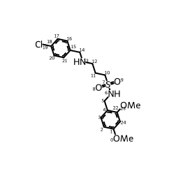 COc1ccc(CNS(=O)(=O)CCCNCc2ccc(Cl)cc2)c(OC)c1